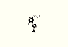 O=C(O)c1cc(-n2cnc(C3CC3)c2)c(F)cn1